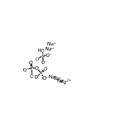 O=P([O-])([O-])OP(=O)([O-])[O-].[Mg+2].[Na+].[Na+].[Na+].[Na+].[Na+].[O-][Si]([O-])([O-])O